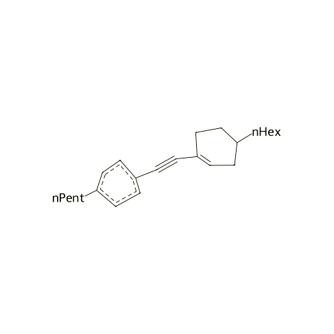 CCCCCCC1CC=C(C#Cc2ccc(CCCCC)cc2)CC1